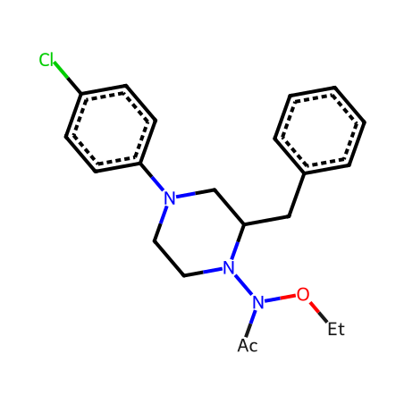 CCON(C(C)=O)N1CCN(c2ccc(Cl)cc2)CC1Cc1ccccc1